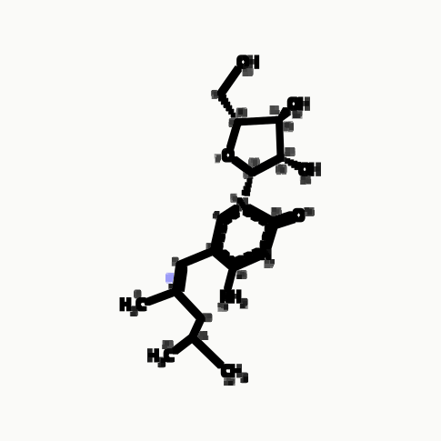 C/C(=C/c1cn([C@@H]2O[C@H](CO)[C@@H](O)[C@@H]2O)c(=O)nc1N)CC(C)C